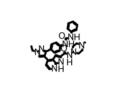 CCn1cc(-c2ccnc3[nH]c(C(=O)NN4CCN(C)CC4)cc23)c(-c2ccc(NC(=O)Nc3ccccc3)cc2)n1